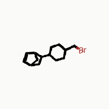 BrCC1CCC(C2CC3C=CC2C3)CC1